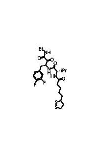 CCNC(=O)C(=O)[C@H](Cc1ccc(F)c(F)c1)NC(=O)[C@@H](NC(=O)CCCCC1CCSS1)C(C)C